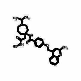 Cc1cc(COc2ccc(C(=O)NC3(CC(=O)NO)CCCN(C(C)C)CC3)cc2)c2ccccc2n1